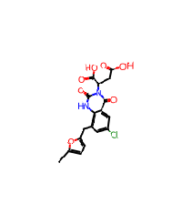 Cc1ccc(Cc2cc(Cl)cc3c(=O)n(C(CC(=O)O)C(=O)O)c(=O)[nH]c23)o1